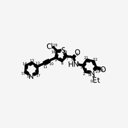 CCn1cc(NC(=O)c2cc(C#Cc3cccnc3)c(Cl)s2)ccc1=O